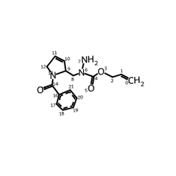 C=CCOC(=O)N(N)CC1C=CCN1C(=O)c1ccccc1